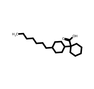 CCCCCCCC1CCC(C2(C(=O)O)CCCCC2)CC1